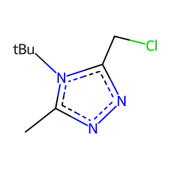 Cc1nnc(CCl)n1C(C)(C)C